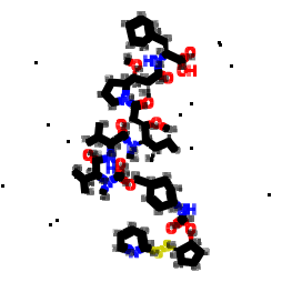 CC[C@H](C)[C@@H]([C@@H](CC(=O)N1CCCC1[C@H](OC)[C@@H](C)C(=O)N[C@@H](Cc1ccccc1)C(=O)O)OC)N(C)C(=O)C(NC(=O)C(C(C)C)N(C)C(=O)OCc1ccc(NC(=O)O[C@H]2CCC[C@@H]2SSc2ccccn2)cc1)C(C)C